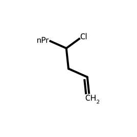 C=CCC(Cl)CCC